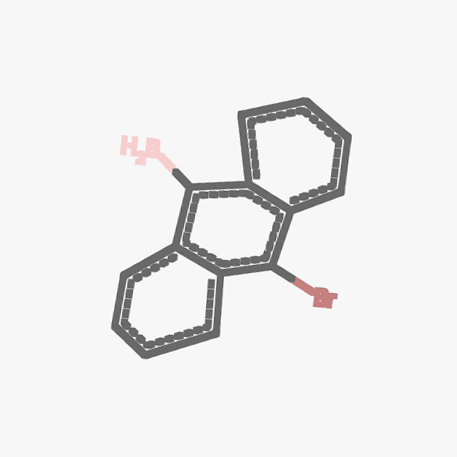 Bc1c2ccccc2c(Br)c2ccccc12